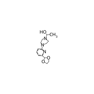 CC(O)N1CCN(c2cccc(C3OCCO3)n2)CC1